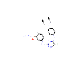 C#CCN(CC#C)c1ccc(Nc2nc(Nc3ccc(C)c(S(N)(=O)=O)c3)ncc2F)cc1